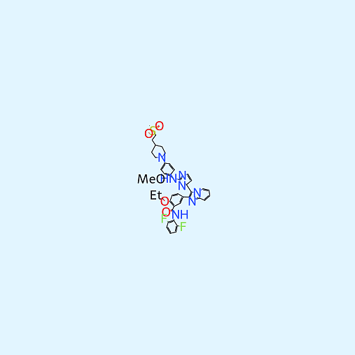 CCOc1ccc(-c2nc3ccccn3c2-c2ccnc(Nc3ccc(N4CCC(CCS(C)(=O)=O)CC4)cc3OC)n2)cc1C(=O)Nc1c(F)cccc1F